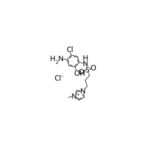 C[n+]1ccn(CCCS(=O)(=O)Nc2cc(Cl)c(N)cc2O)c1.[Cl-]